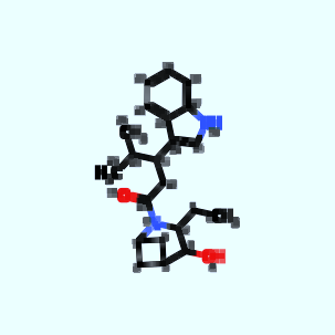 CCC1C(O)C2CC(C2)N1C(=O)CC(c1c[nH]c2ccccc12)C(C)C